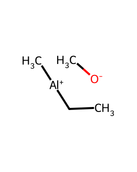 C[CH2][Al+][CH3].C[O-]